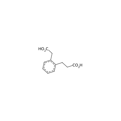 O=C(O)CCc1ccccc1CC(=O)O